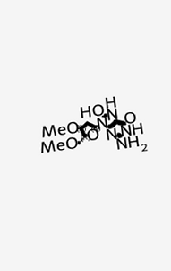 COC[C@H]1O[C@@H](N2c3nc(N)[nH]c(=O)c3NC2O)C[C@H]1OC